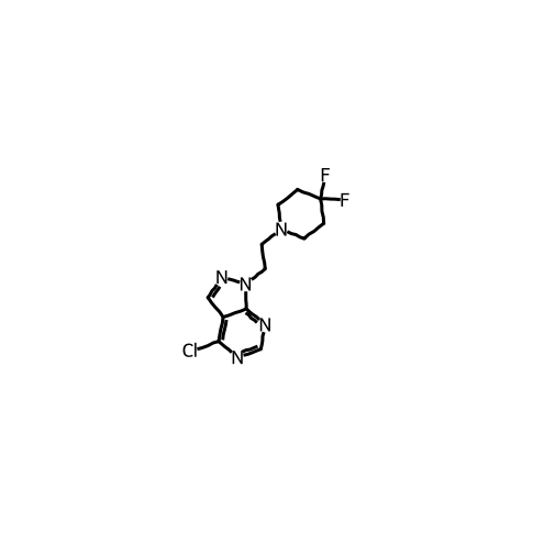 FC1(F)CCN(CCn2ncc3c(Cl)ncnc32)CC1